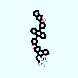 C=C/C=C\c1c(C)c2ccccc2c2cc3c(cc12)oc1ccc(-c2c4ccccc4c(-c4ccc5oc6cc7ccccc7cc6c5c4)c4ccccc24)cc13